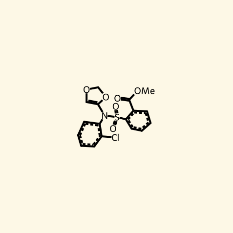 COC(=O)c1ccccc1S(=O)(=O)N(C1=COCO1)c1ccccc1Cl